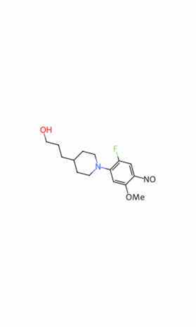 COc1cc(N2CCC(CCCO)CC2)c(F)cc1N=O